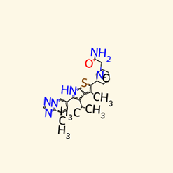 Cc1c(C2CC3CCC2N(CC(N)=O)C3)sc2[nH]c(-c3cc(C)c4ncnn4c3)c(C(C)C)c12